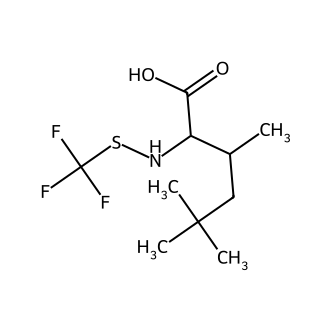 CC(CC(C)(C)C)C(NSC(F)(F)F)C(=O)O